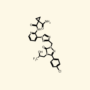 NC(=O)C1(C(=O)Nc2ncccc2-n2cnc(Cn3nc(-c4ccc(Cl)cc4)n(C[C@H](O)C(F)(F)F)c3=O)n2)CC1